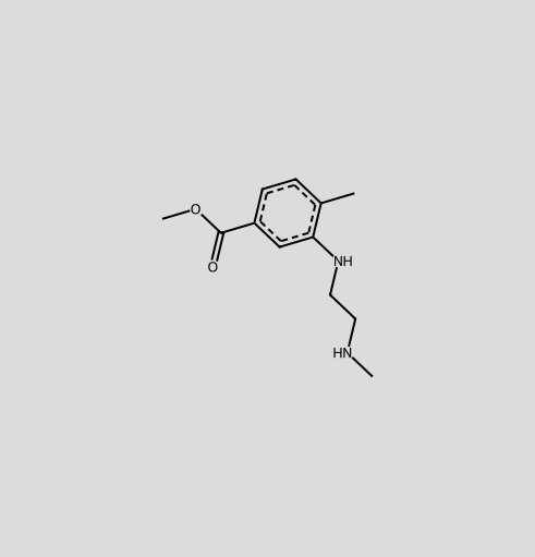 CNCCNc1cc(C(=O)OC)ccc1C